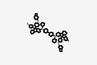 Fc1ccc(C2(c3ccc(Sc4ccc5c(c4)CC5)cc3)c3ccccc3-c3ccc(N(c4ccccc4)c4ccc(-c5ccc(N(c6ccccc6)c6ccc7c(c6)C(c6ccc(F)cc6)(c6ccc(Sc8ccc9c(c8)CC9)cc6)c6ccccc6-7)cc5)cc4)cc32)cc1